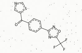 O=C(c1ccc(-c2noc(C(F)(F)F)n2)cc1)c1cncs1